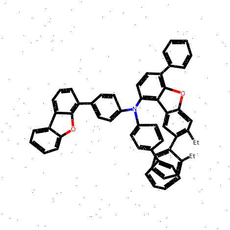 CCc1ccccc1-c1cc2c(cc1CC)oc1c(-c3ccccc3)ccc(N(c3ccc(-c4ccccc4)cc3)c3ccc(-c4cccc5c4oc4ccccc45)cc3)c12